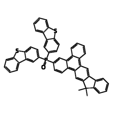 CC1(C)c2ccccc2-c2cc3c4ccccc4c4cc(P(=O)(c5ccc6sc7ccccc7c6c5)c5ccc6sc7ccccc7c6c5)ccc4c3cc21